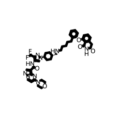 O=C1Cc2cccc(Oc3ccccc3CCCCCNC[C@H]3CC[C@H](n4cc(NC(=O)c5cnn6ccc(N7CCOCC7)nc56)c(C(F)F)n4)CC3)c2C(=O)N1